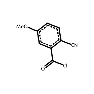 COc1ccc(C#N)c(C(=O)Cl)c1